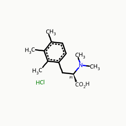 Cc1ccc(C[C@H](C(=O)O)N(C)C)c(C)c1C.Cl